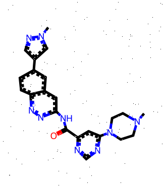 CN1CCN(c2cc(C(=O)Nc3cc4cc(-c5cnn(C)c5)ccc4nn3)ncn2)CC1